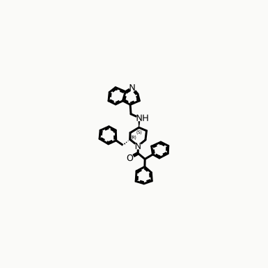 O=C(C(c1ccccc1)c1ccccc1)N1CC[C@H](NCc2ccnc3ccccc23)C[C@H]1Cc1ccccc1